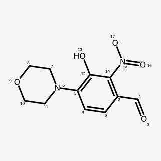 O=Cc1ccc(N2CCOCC2)c(O)c1[N+](=O)[O-]